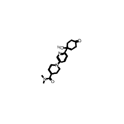 CN(C)C(=O)C1CCN(c2ccc(C3(O)CCC(=O)CC3)nc2)CC1